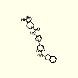 O=C(Nc1ccn(-c2cnc(NC3Cc4ccccc4C3)nc2)n1)N1CCc2[nH]nnc2C1